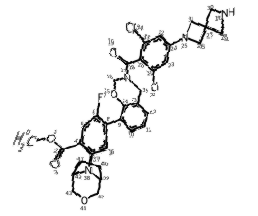 COC(=O)c1cc(F)c(-c2cccc3c2OCN(C(=O)c2c(Cl)cc(N4CC5(CNC5)C4)cc2Cl)C3)cc1N1C2CCC1COC2